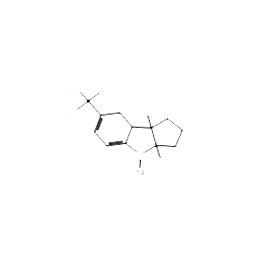 CC(C)(C)C1=CC=C2C(C1)C1(C)CCCC1(C)N2N